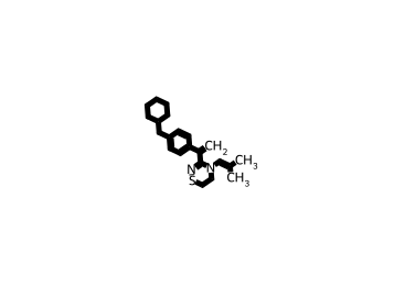 C=C(C1=NSCCN1C=C(C)C)c1ccc(CC2CCCCC2)cc1